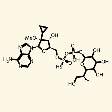 CO[C@]1(C2CC2)[C@H](O)[C@@H](COP(=O)(S)OP(=O)(O)OC2OC([C@@H](F)CO)C(O)C(O)C2O)O[C@H]1n1cnc2c(N)ncnc21